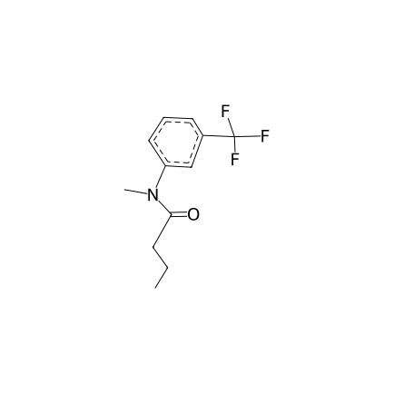 CCCC(=O)N(C)c1cccc(C(F)(F)F)c1